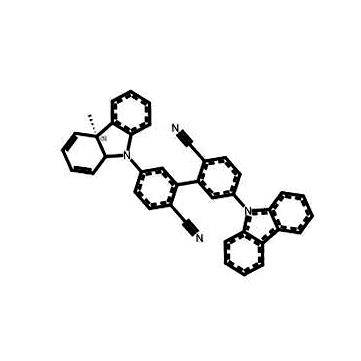 C[C@@]12C=CC=CC1N(c1ccc(C#N)c(-c3cc(-n4c5ccccc5c5ccccc54)ccc3C#N)c1)c1ccccc12